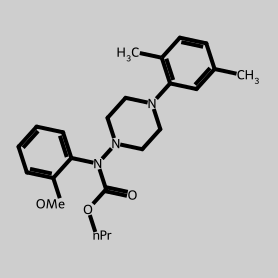 CCCOC(=O)N(c1ccccc1OC)N1CCN(c2cc(C)ccc2C)CC1